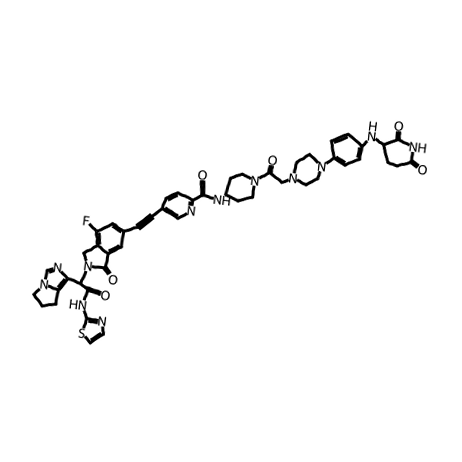 O=C1CCC(Nc2ccc(N3CCN(CC(=O)N4CCC(NC(=O)c5ccc(C#Cc6cc(F)c7c(c6)C(=O)N(C(C(=O)Nc6nccs6)c6ncn8c6CCC8)C7)cn5)CC4)CC3)cc2)C(=O)N1